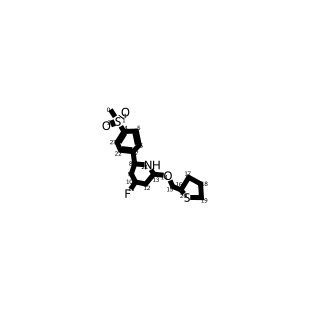 CS(=O)(=O)c1ccc(C2CC(F)CC(OCC3CCCS3)N2)cc1